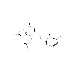 C=C1C=C(CCc2cccc(F)c2F)N(CC(=O)O)c2nc(C)sc21